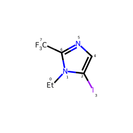 CCn1c(I)cnc1C(F)(F)F